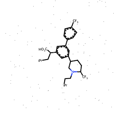 CC(C)CCN1CC(c2cc(-c3ccc(C(F)(F)F)cc3)cc(C(CC(C)C)C(=O)O)c2)CCC1C(F)(F)F